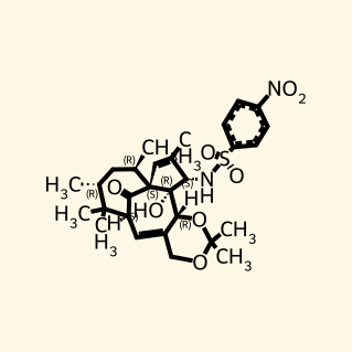 CC1=C[C@]23C(=O)[C@@H](C=C4COC(C)(C)O[C@H]4[C@]2(O)[C@H]1NS(=O)(=O)c1ccc([N+](=O)[O-])cc1)C(C)(C)[C@H](C)C[C@H]3C